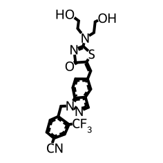 N#Cc1ccc(Cn2ncc3cc(/C=C4/SC(N(CCO)CCO)=NC4=O)ccc32)c(C(F)(F)F)c1